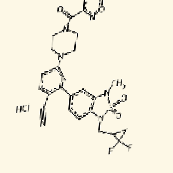 CN1c2cc(-c3nc(N4CCN(C(=O)c5ccon5)CC4)ccc3C#N)ccc2N(CC2CC2(F)F)S1(=O)=O.Cl